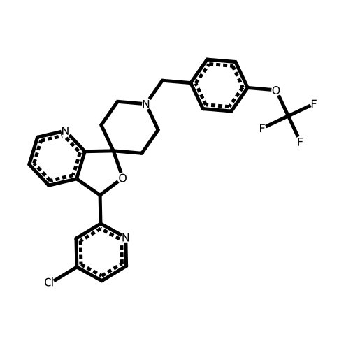 FC(F)(F)Oc1ccc(CN2CCC3(CC2)OC(c2cc(Cl)ccn2)c2cccnc23)cc1